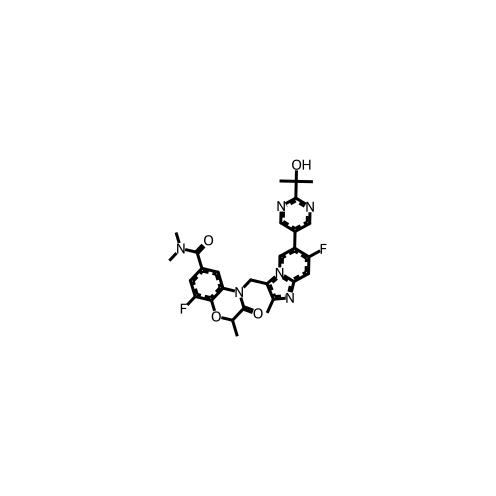 Cc1nc2cc(F)c(-c3cnc(C(C)(C)O)nc3)cn2c1CN1C(=O)C(C)Oc2c(F)cc(C(=O)N(C)C)cc21